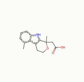 Cc1cccc2[nH]c3c(c12)CCOC3(C)CC(=O)O